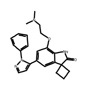 CN(C)CCOc1cc(-c2ccnn2-c2ccccc2)cc2c1NC(=O)C21CCC1